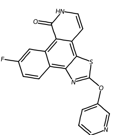 O=c1[nH]ccc2c3sc(Oc4cccnc4)nc3c3ccc(F)cc3c12